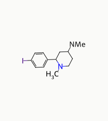 CNC1CCN(C)C(c2ccc(I)cc2)C1